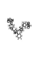 Cc1ccccc1-n1nc(CN2CCN(C(=O)OC(C)(C)C)CC2)cc1-c1ccc(-c2cccc(S(C)(=O)=O)c2)s1